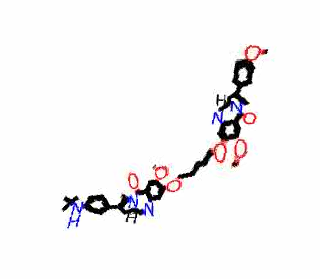 COc1ccc(C2=CN3C(=O)c4cc(OC)c(OCCCCCOc5cc6c(cc5OC)C(=O)N5C=C(c7ccc(NC(C)(C)C)cc7)C[C@H]5C=N6)cc4N=C[C@@H]3C2)cc1